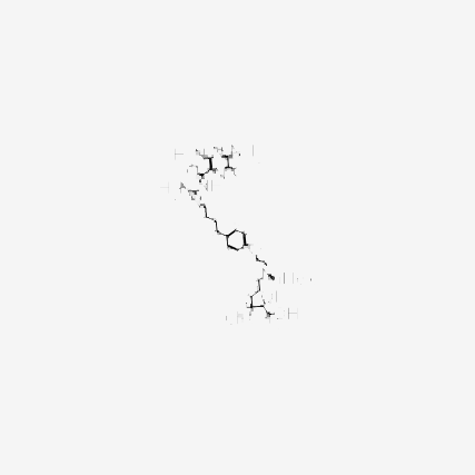 CCCCCCN(CCC[C@@](C)(OCl)[C@H](O)CO)CCOc1ccc(CCCCNC(N)NC(=O)c2nc(Cl)c(N)nc2N)cc1